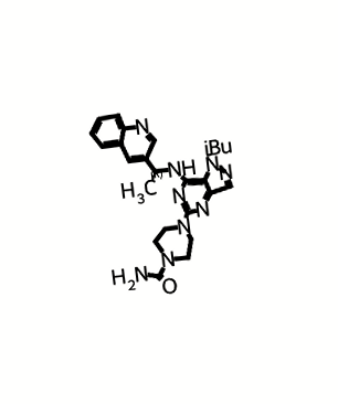 CCC(C)n1ncc2nc(N3CCN(C(N)=O)CC3)nc(N[C@H](C)c3cnc4ccccc4c3)c21